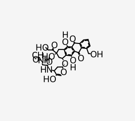 CONCC(=O)NC1C[C@H](O[C@H]2C[C@](O)(C(=O)CO)Cc3c(O)c4c(c(O)c32)C(=O)c2c(CO)cccc2C4=O)OC=C1O